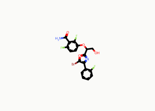 NC(=O)c1c(F)ccc(OC(CO)c2nc(-c3ccccc3F)c(Br)o2)c1F